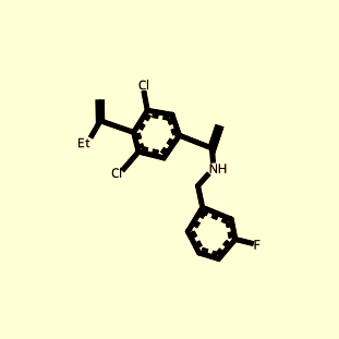 C=C(NCc1cccc(F)c1)c1cc(Cl)c(C(=C)CC)c(Cl)c1